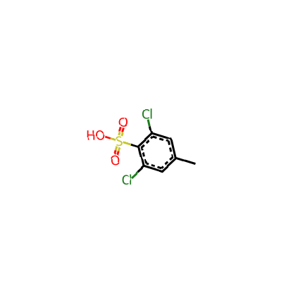 Cc1cc(Cl)c(S(=O)(=O)O)c(Cl)c1